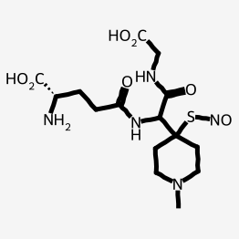 CN1CCC(SN=O)(C(NC(=O)CC[C@H](N)C(=O)O)C(=O)NCC(=O)O)CC1